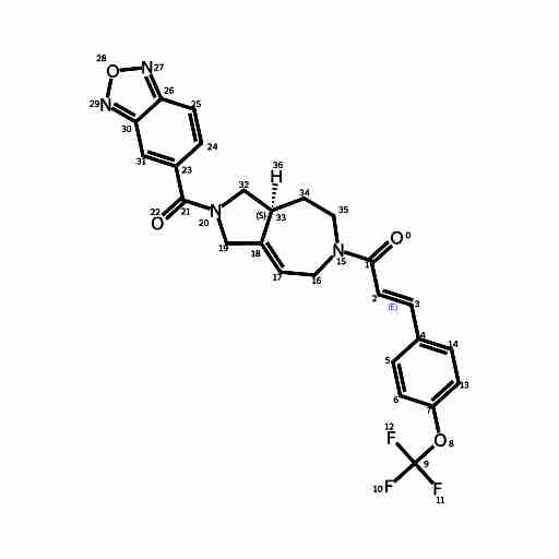 O=C(/C=C/c1ccc(OC(F)(F)F)cc1)N1CC=C2CN(C(=O)c3ccc4nonc4c3)C[C@H]2CC1